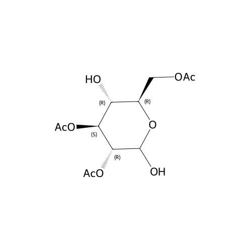 CC(=O)OC[C@H]1OC(O)[C@H](OC(C)=O)[C@@H](OC(C)=O)[C@@H]1O